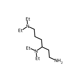 CCN(CC)CCCC(CCN)N(CC)CC